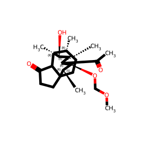 COCO[C@H]1[C@H](C)C23CCC(=O)C2[C@@](C)([C@H](C)CC3)[C@H](O)C[C@@]1(C)C(C)=O